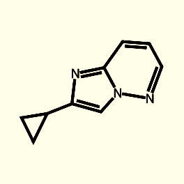 c1cnn2cc(C3CC3)nc2c1